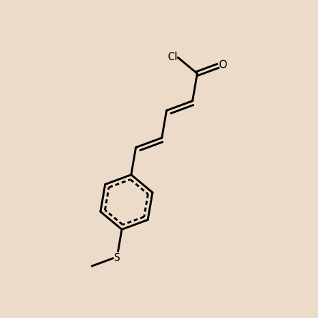 CSc1ccc(/C=C/C=C/C(=O)Cl)cc1